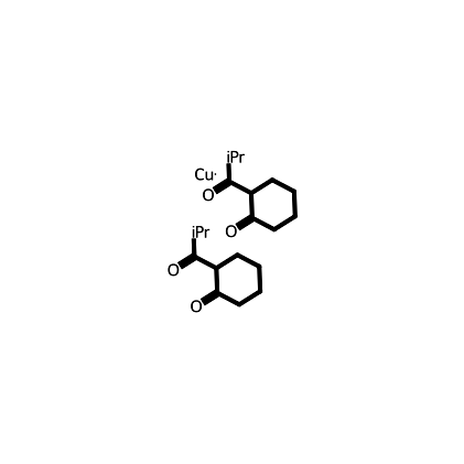 CC(C)C(=O)C1CCCCC1=O.CC(C)C(=O)C1CCCCC1=O.[Cu]